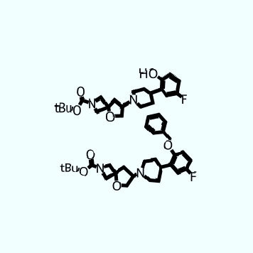 CC(C)(C)OC(=O)N1CC2(CC(N3CCC(c4cc(F)ccc4O)CC3)CO2)C1.CC(C)(C)OC(=O)N1CC2(CC(N3CCC(c4cc(F)ccc4OCc4ccccc4)CC3)CO2)C1